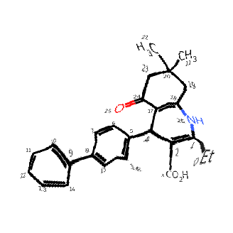 CCC1=C(C(=O)O)C(c2ccc(-c3ccccc3)cc2)C2=C(CC(C)(C)CC2=O)N1